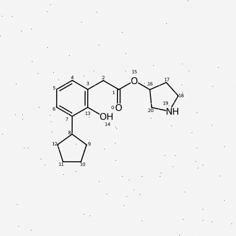 O=C(Cc1cccc(C2CCCC2)c1O)OC1CCNC1